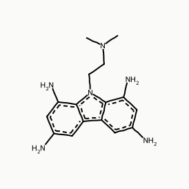 CN(C)CCn1c2c(N)cc(N)cc2c2cc(N)cc(N)c21